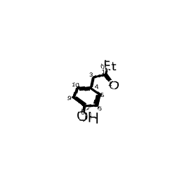 CCC(=O)Cc1ccc(O)cc1